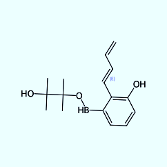 C=C/C=C/c1c(O)cccc1BOC(C)(C)C(C)(C)O